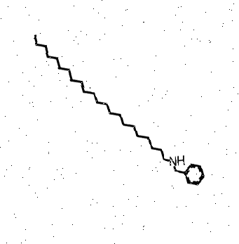 CCCCCCCCCCCCCCCCCCCCCCNCc1ccccc1